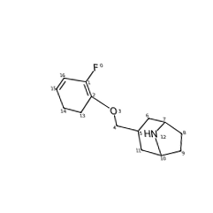 FC1=C(OCC2CC3CCC(C2)N3)CCC=C1